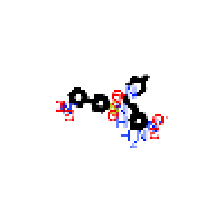 CC1CCN(C(=O)C(Cc2ccc(N)c([N+](=O)[O-])c2)NS(=O)(=O)c2ccc(-c3cccc([N+](=O)[O-])c3)cc2)CC1